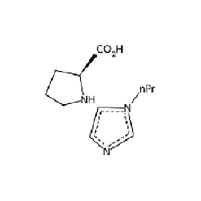 CCCn1ccnc1.O=C(O)[C@@H]1CCCN1